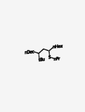 CCCCCCCCCCC(CC(CCCCCC)SCCC)C(C)(C)C